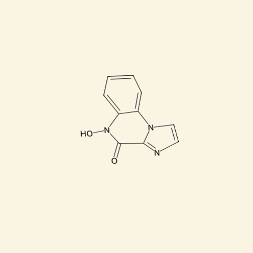 O=c1c2nccn2c2ccccc2n1O